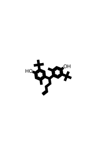 C=CCCC(c1cc(C(C)(C)C)c(O)cc1C)c1cc(C(C)(C)C)c(O)cc1C